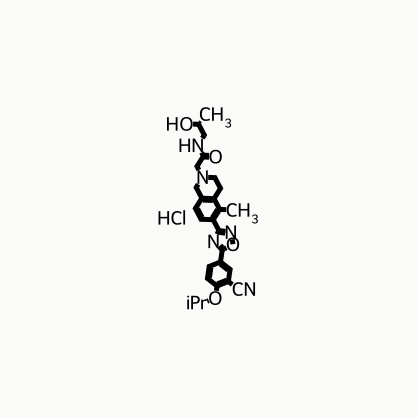 Cc1c(-c2noc(-c3ccc(OC(C)C)c(C#N)c3)n2)ccc2c1CCN(CC(=O)NC[C@H](C)O)C2.Cl